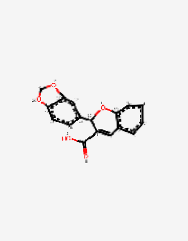 O=C(O)C1=Cc2ccccc2OC1c1ccc2c(c1)OCO2